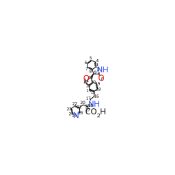 O=C1Nc2ccccc2/C1=C1\OCc2cc(CCNC(Cc3cccnc3)C(=O)O)ccc21